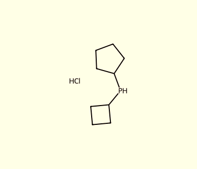 C1CCC(PC2CCC2)C1.Cl